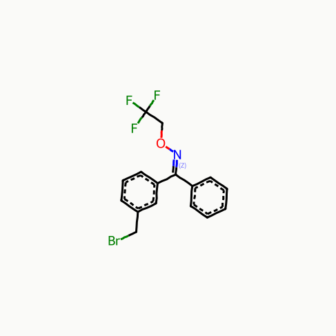 FC(F)(F)CO/N=C(/c1ccccc1)c1cccc(CBr)c1